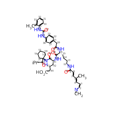 C=N\C=C/C=C(C)/C=C/C(=O)NCCCC[C@@H](NC(=O)Cc1ccc(NC(=O)Nc2ccccc2C)cc1)C(=O)N[C@@H](CCCC(=O)O)C(=O)NC1(C(=O)C(C)C)CCCCC1